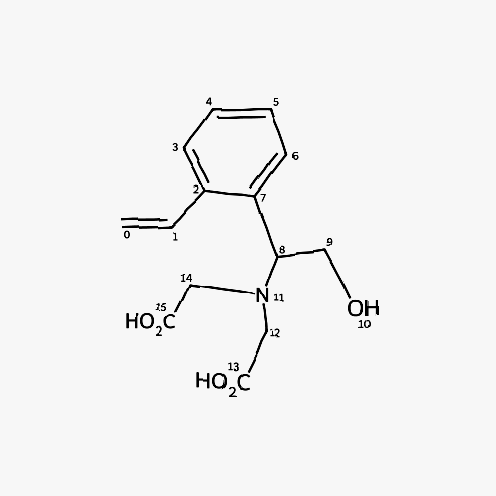 C=Cc1ccccc1C(CO)N(CC(=O)O)CC(=O)O